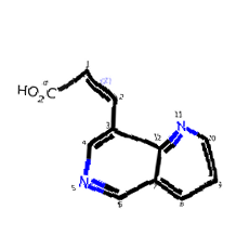 O=C(O)/C=C\c1cncc2cccnc12